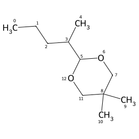 CCCC(C)C1OCC(C)(C)CO1